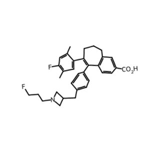 Cc1cc(C2=C(c3ccc(CC4CN(CCCF)C4)cc3)c3ccc(C(=O)O)cc3CCC2)c(C)cc1F